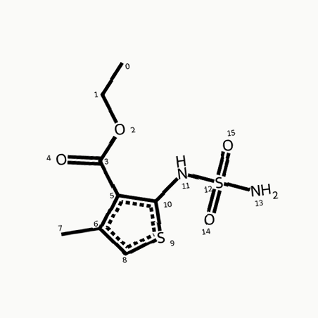 CCOC(=O)c1c(C)csc1NS(N)(=O)=O